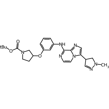 CN1CC(c2cnc3c(Nc4cccc(OC5CCN(C(=O)OC(C)(C)C)C5)c4)nccn23)C=N1